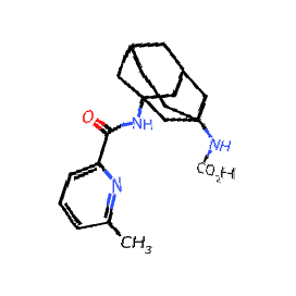 Cc1cccc(C(=O)NC23CC4CC(CC(NC(=O)O)(C4)C2)C3)n1